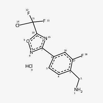 Cl.NCc1ccc(-c2noc(C(F)(F)Cl)n2)cc1F